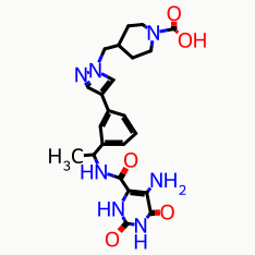 CC(NC(=O)c1[nH]c(=O)[nH]c(=O)c1N)c1cccc(-c2cnn(CC3CCN(C(=O)O)CC3)c2)c1